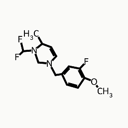 COc1ccc(CN2C=CC(C)N(C(F)F)C2)cc1F